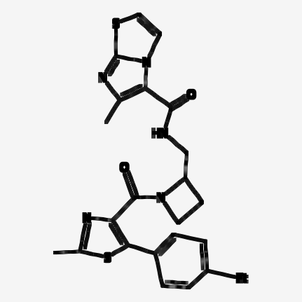 CCc1ccc(-c2sc(C)nc2C(=O)N2CCC2CNC(=O)c2c(C)nc3sccn23)cc1